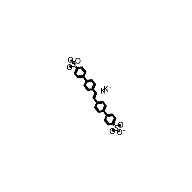 O=S(=O)([O-])c1ccc(-c2ccc(/C=C/c3ccc(-c4ccc(S(=O)(=O)[O-])cc4)cc3)cc2)cc1.[K+].[K+]